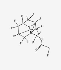 O=C(CF)OC(F)(F)C12C(F)C3(F)C(F)(F)C(F)(C(F)(F)C(F)(C3(F)F)C1(F)F)C2(F)F